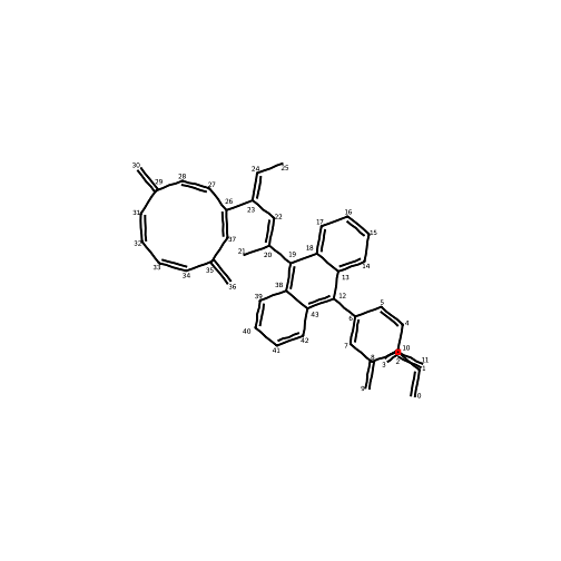 C=CC(=C)/C=C\C(=C/C(=C)C=C)c1c2ccccc2c(/C(C)=C/C(=C\C)c2ccc(=C)ccccc(=C)c2)c2ccccc12